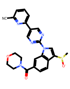 C[S+]([O-])c1cn(-c2ncc(-c3cccc(C#N)n3)cn2)c2cc(C(=O)N3CCOCC3)ccc12